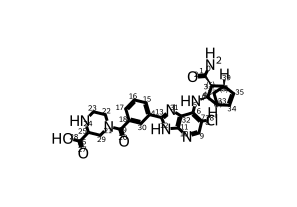 NC(=O)[C@@H]1[C@H](Nc2c(Cl)cnc3[nH]c(-c4cccc(C(=O)N5CCNC(C(=O)O)C5)c4)nc23)[C@H]2C=C[C@@H]1C2